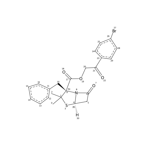 CC1(C)S[C@@H]2CC(=O)N2[C@@]1(Cc1ccccc1)C(=O)OCC(=O)c1ccc(Br)cc1